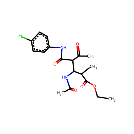 CCOC(=O)C(C)C(NC(C)=O)C(C(C)=O)C(=O)Nc1ccc(Cl)cc1